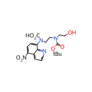 CC(C)(C)OC(=O)N(CCO)CCN(C(=O)O)c1ccc([N+](=O)[O-])c2cccnc12